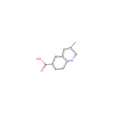 [CH2]c1cnc2ccc(C(=O)O)cc2c1